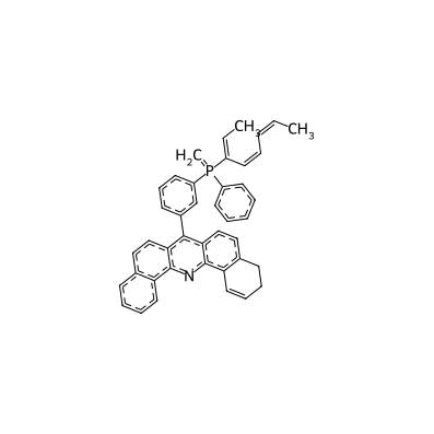 C=P(C(/C=C\C=C/C)=C/C)(c1ccccc1)c1cccc(-c2c3ccc4c(c3nc3c2ccc2ccccc23)C=CCC4)c1